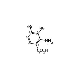 Nc1c(C(=O)O)ccc(Br)c1Br